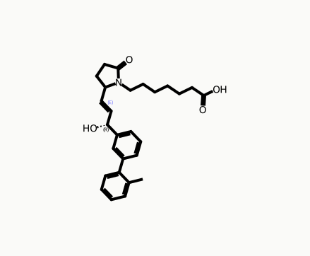 Cc1ccccc1-c1cccc([C@H](O)/C=C/C2CCC(=O)N2CCCCCCC(=O)O)c1